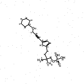 CC(N)(CCc1ccc(C#CCOC2CCCCC2)s1)COP(=O)(O)O